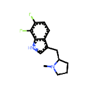 CN1CCCC1Cc1c[nH]c2c(F)c(F)ccc12